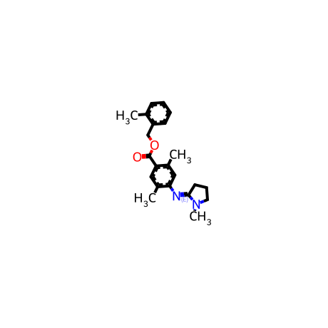 Cc1ccccc1COC(=O)c1cc(C)c(/N=C2\CCCN2C)cc1C